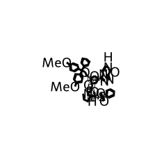 COc1ccc(C(OC[C@H]2O[C@@H](c3nnc4c(=O)[nH]ccn34)C[C@@H]2O[P@@]2O[C@H](CS(=O)(=O)c3ccccc3)[C@@H]3CCCN32)(c2ccccc2)c2ccc(OC)cc2)cc1